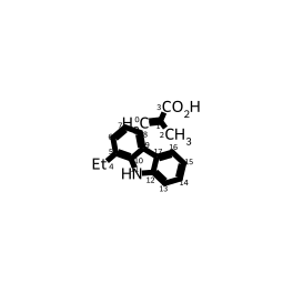 C=C(C)C(=O)O.CCc1cccc2c1[nH]c1ccccc12